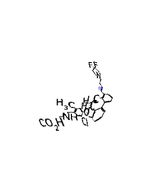 Cc1cc(OCc2cccc(-c3cccc(/C=C/CCN4CCC(F)(F)C4)c3C)c2C)c(Cl)cc1CNCC(=O)O